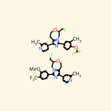 COc1cc(-c2nc(-c3ccnc(C)c3)c3n2CC(CF)OCC3)ccc1C(F)(F)F.Cc1cc(-c2nc(-c3ccc(OC(F)F)c(C)c3)n3c2CCOC(CF)C3)ccn1